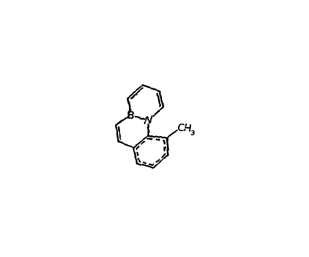 Cc1cccc2c1N1C=CC=CB1C=C2